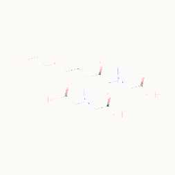 O=C(O)CNCC(=O)O.O=C(O)CNCC(=O)OCCOCCO